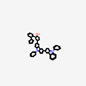 Oc1ccc(-c2ccc3c(c2)c2cc(-c4ccc5c(c4)c4ccccc4n5-c4ccccc4)ccc2n3-c2ccccc2)cc1-c1ccccc1C1C=CC=C1